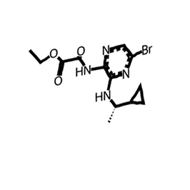 CCOC(=O)C(=O)Nc1ncc(Br)nc1N[C@@H](C)C1CC1